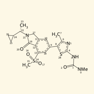 CNC(=O)Nc1nc(C)c(-c2cc3c(c(S(C)(=O)=O)c2)C(=O)N([C@@H](C)C2CC2)C3)s1